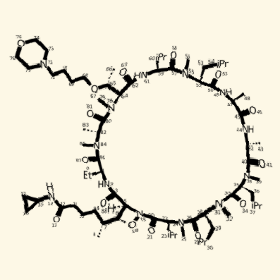 CC[C@@H]1NC(=O)[C@@H]2[C@@H]([C@H](C)CCCC(=O)NC3CC3)ON2C(=O)[C@H](C(C)C)N(C)C(=O)[C@H](CC(C)C)N(C)C(=O)[C@H](CC(C)C)N(C)C(=O)[C@@H](C)NC(=O)[C@H](C)NC(=O)[C@H](CC(C)C)N(C)C(=O)[C@H](C(C)C)NC(=O)[C@H]([C@@H](C)OCCCCN2CCOCC2)N(C)C(=O)[C@@H](C)N(C)C1=O